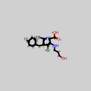 Bc1nc(C(=O)O)c(NCCCO)c(Br)c1Cc1ccc(F)cc1